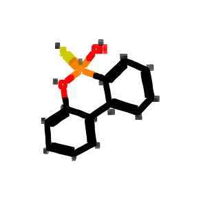 OP1(=S)Oc2ccccc2-c2ccccc21